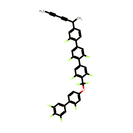 CC#CC#CC(C)c1ccc(-c2cc(F)c(-c3cc(F)c(C(F)(F)Oc4ccc(-c5cc(F)c(F)c(F)c5)c(F)c4)c(F)c3)c(F)c2)c(F)c1